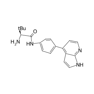 CC(C)(C)[C@H](N)C(=O)Nc1ccc(-c2ccnc3[nH]ccc23)cc1